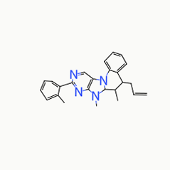 C=CCC1c2ccccc2N2c3cnc(-c4ccccc4C)nc3N(C)C2C1C